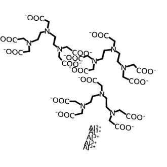 O=C([O-])CN(CCN(CC(=O)[O-])CC(=O)[O-])CCN(CC(=O)[O-])CC(=O)[O-].O=C([O-])CN(CCN(CC(=O)[O-])CC(=O)[O-])CCN(CC(=O)[O-])CC(=O)[O-].O=C([O-])CN(CCN(CC(=O)[O-])CC(=O)[O-])CCN(CC(=O)[O-])CC(=O)[O-].[Al+3].[Al+3].[Al+3].[Al+3].[Al+3]